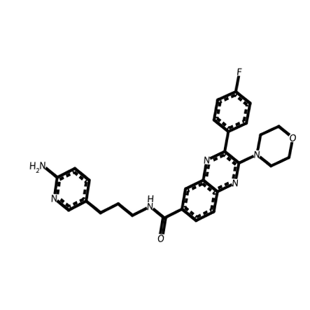 Nc1ccc(CCCNC(=O)c2ccc3nc(N4CCOCC4)c(-c4ccc(F)cc4)nc3c2)cn1